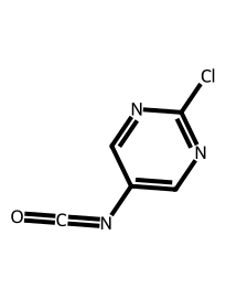 O=C=Nc1cnc(Cl)nc1